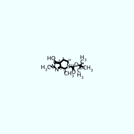 C[C@@H]1c2nn(C)c(O)c2CCN1C(=O)OC(C)(C)C